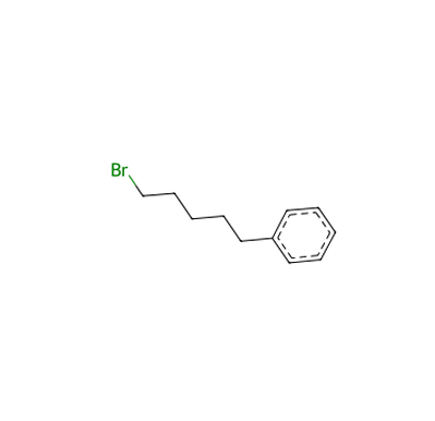 BrCCCCCc1ccccc1